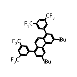 CCC(C)c1cc(-c2cc(C(F)(F)F)cc(C(F)(F)F)c2)c2ccc3c(-c4cc(C(F)(F)F)cc(C(F)(F)F)c4)cc(C(C)CC)cc3c2c1